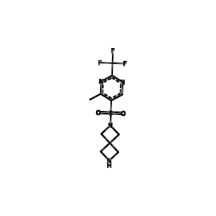 Cc1nc(C(F)(F)F)ncc1S(=O)(=O)N1CC2(CNC2)C1